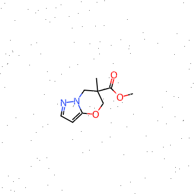 COC(=O)C1(C)COc2ccnn2C1